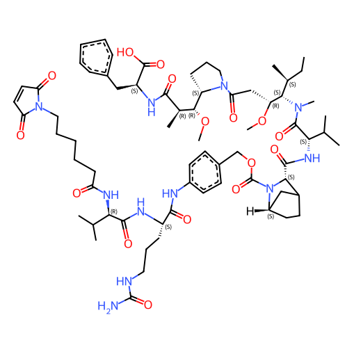 CC[C@H](C)[C@@H]([C@@H](CC(=O)N1CCC[C@H]1[C@H](OC)[C@@H](C)C(=O)N[C@@H](Cc1ccccc1)C(=O)O)OC)N(C)C(=O)[C@@H](NC(=O)[C@@H]1C2CC[C@@H](C2)N1C(=O)OCc1ccc(NC(=O)[C@H](CCCNC(N)=O)NC(=O)[C@H](NC(=O)CCCCCN2C(=O)C=CC2=O)C(C)C)cc1)C(C)C